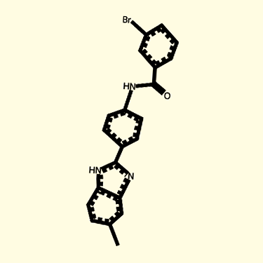 Cc1ccc2[nH]c(-c3ccc(NC(=O)c4cccc(Br)c4)cc3)nc2c1